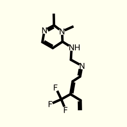 C=C/C(=C\C=N/CNC1C=CN=C(C)N1C)C(F)(F)F